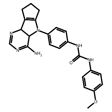 COc1ccc(NC(=O)Nc2ccc(N3C4=C(CCC4)C4N=CN=C(N)C43)cc2)cc1